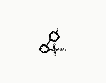 CNS(=O)(=O)c1ccccc1-c1ccc(F)cc1